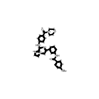 CC(C)(C)c1ccc(C(=O)Nc2cccc(-c3cn4ccnc4c(Nc4ccc(C(=O)N5CCOCC5)cc4)n3)c2)cc1